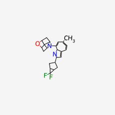 CC1=C=CC2=CC(C3CC4C(C3)C4(F)F)=NC2C(N2C3CC4OC5CC2C453)=C1